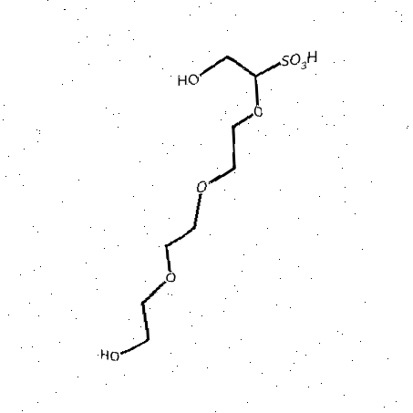 O=S(=O)(O)C(CO)OCCOCCOCCO